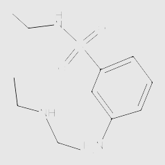 CCNCC.CCNS(=O)(=O)c1cccc(N)c1